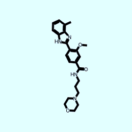 COc1cc(C(=O)NCCCN2CCOCC2)ccc1-c1nc2c(C)cccc2[nH]1